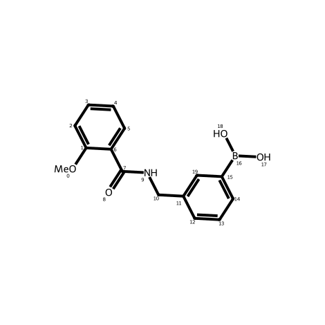 COc1ccccc1C(=O)NCc1cccc(B(O)O)c1